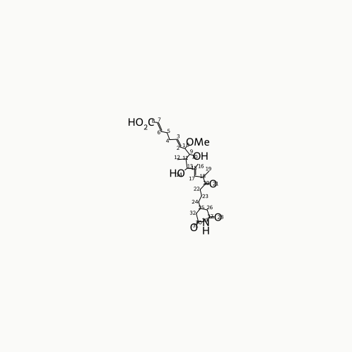 COC(/C=C/CC/C=C/C(=O)O)C(O)C(C)C(O)/C(C)=C/C(C)C(=O)CCCC1CC(=O)NC(=O)C1